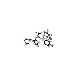 C[C@H]1C[C@]2(CCN1Cc1ncoc1CC1CCCC1)CN(C)S(=O)(=O)N2c1cccc(F)c1